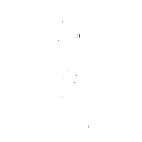 Cc1ccc(-n2cc(COc3ncc(Br)cn3)nn2)cc1OC(F)F